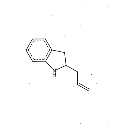 C=CCC1Cc2ccccc2N1